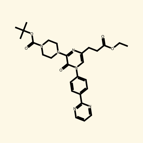 CCOC(=O)CCc1cn(-c2ccc(-c3ncccn3)cc2)c(=O)c(N2CCN(C(=O)OC(C)(C)C)CC2)n1